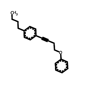 CCCCc1ccc(C#CCCOc2ccccc2)cc1